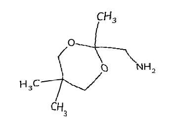 CC1(C)COC(C)(CN)OC1